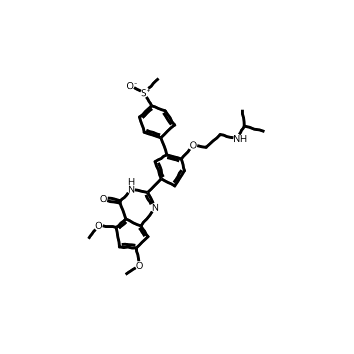 COc1cc(OC)c2c(=O)[nH]c(-c3ccc(OCCNC(C)C)c(-c4ccc([S+](C)[O-])cc4)c3)nc2c1